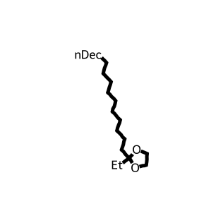 CCCCCCCCCCCCCCCCCCCCC1(CC)OCCO1